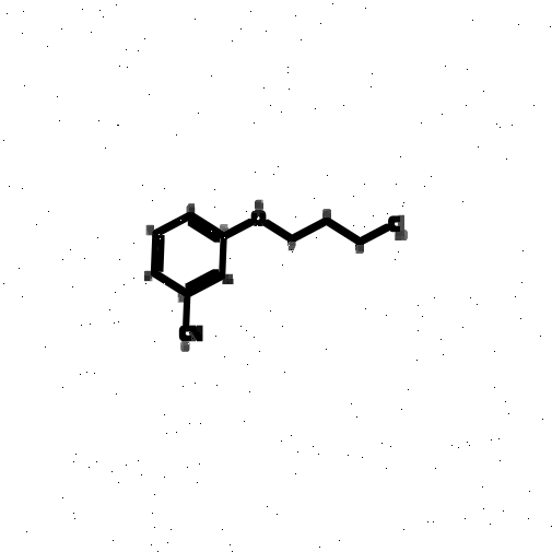 N#Cc1cccc(OCCCCl)c1